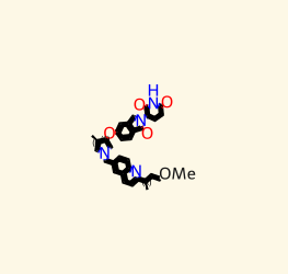 COCC[C@@H](C)c1ccc2cc(CN3C[C@@H](C)[C@H](Oc4ccc5c(c4)CN(C4CCC(=O)NC4=O)C5=O)C3)ccc2n1